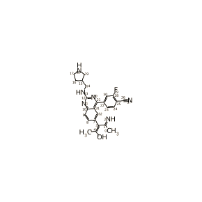 CC(=N)/C(=C(/C)O)c1ccc2nc(NCC3CCNC3)nc(-c3ccc(C#N)c(F)c3)c2c1